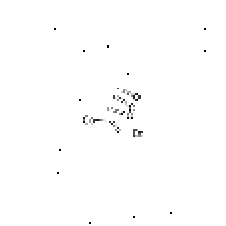 CCC=[CH][Co].[C]=O.[C]=O.[C]=O